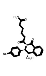 N#Cc1ccc([C@@H]2[C@@H](C(=O)O)c3ccccc3C(=O)N2C(=O)CCCCC(N)=O)cc1